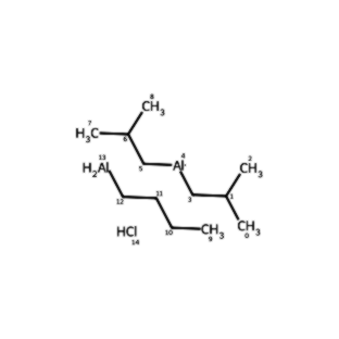 CC(C)[CH2][Al][CH2]C(C)C.CCC[CH2][AlH2].Cl